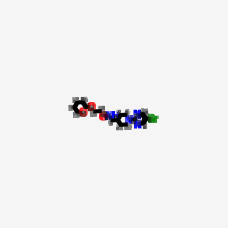 Brc1cnc(N2CCC(CNOCCOC3CCCCO3)CC2)nc1